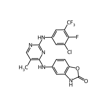 Cc1cnc(Nc2cc(Cl)c(F)c(C(F)(F)F)c2)nc1Nc1ccc2oc(=O)[nH]c2c1